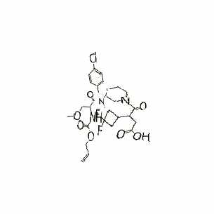 C=CCOC(=O)NC(COC)C(=O)N(C)[C@@]1(Cc2ccc(Cl)cc2)CCCN(C(=O)C(CC(=O)O)C2CC(F)(F)C2)C1